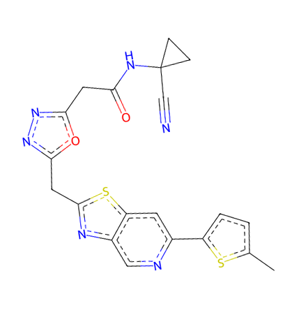 Cc1ccc(-c2cc3sc(Cc4nnc(CC(=O)NC5(C#N)CC5)o4)nc3cn2)s1